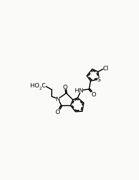 O=C(O)CCN1C(=O)c2cccc(NC(=O)c3ccc(Cl)s3)c2C1=O